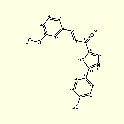 COc1cccc(C=CC(=O)c2[c]nc(-c3ccc(Cl)cc3)s2)c1